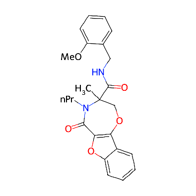 CCCN1C(=O)c2oc3ccccc3c2OCC1(C)C(=O)NCc1ccccc1OC